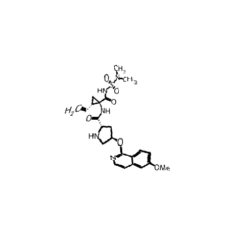 C=C[C@@H]1C[C@]1(NC(=O)[C@@H]1C[C@@H](Oc2nccc3cc(OC)ccc23)CN1)C(=O)NS(=O)(=O)N(C)C